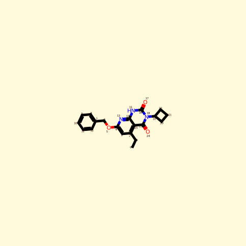 CCc1cc(OCc2ccccc2)nc2[nH]c(=O)n(C3CCC3)c(=O)c12